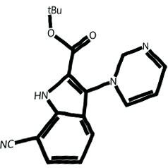 CC(C)(C)OC(=O)c1[nH]c2c(C#N)cccc2c1N1C=CC=NC1